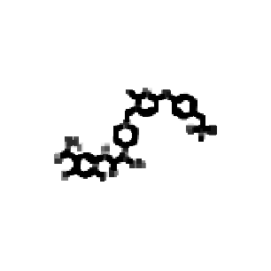 CCCCN(C(=O)Nc1cc(C(N)=O)c(F)cc1F)C1CCN(Cc2ccc(Oc3ccc(CS(C)(=O)=O)cc3)nc2C)CC1